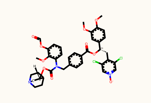 COc1ccc([C@H](Cc2c(Cl)c[n+]([O-])cc2Cl)OC(=O)c2ccc(CN(C(=O)O[C@H]3CN4CCC3CC4)c3cccc(OC=O)c3OC)cc2)cc1OC